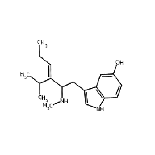 CCC=C(C(C)C)C(Cc1c[nH]c2ccc(O)cc12)NC